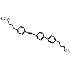 CCCCc1ccc(-c2ccc(C#Cc3ccc(CCCOC)cc3)cc2)cc1